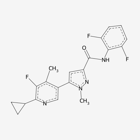 Cc1c(-c2cc(C(=O)Nc3c(F)cccc3F)nn2C)cnc(C2CC2)c1F